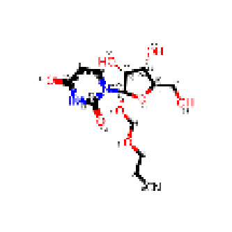 N#CCCOCO[C@@]1(n2ccc(=O)[nH]c2=O)O[C@H](CO)[C@@H](O)[C@H]1O